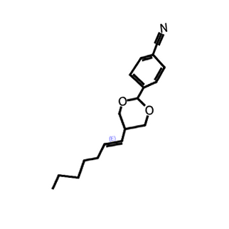 CCCCC/C=C/C1COC(c2ccc(C#N)cc2)OC1